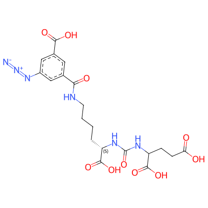 [N-]=[N+]=Nc1cc(C(=O)O)cc(C(=O)NCCCC[C@H](NC(=O)NC(CCC(=O)O)C(=O)O)C(=O)O)c1